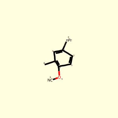 CCCc1ccc(OC#N)c(C)c1